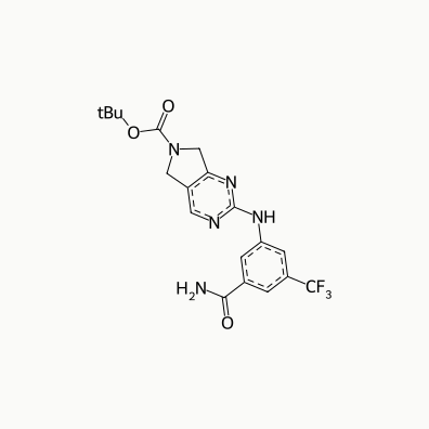 CC(C)(C)OC(=O)N1Cc2cnc(Nc3cc(C(N)=O)cc(C(F)(F)F)c3)nc2C1